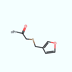 CCCC(=O)CSCc1ccoc1